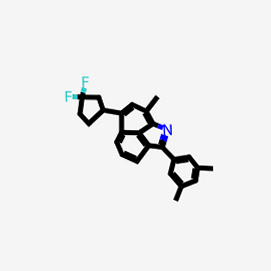 Cc1cc(C)cc(C2=Nc3c(C)cc(C4CCC(F)(F)C4)c4cccc2c34)c1